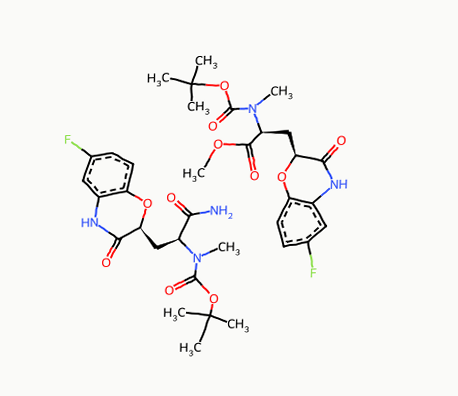 CN(C(=O)OC(C)(C)C)[C@@H](C[C@@H]1Oc2ccc(F)cc2NC1=O)C(N)=O.COC(=O)[C@H](C[C@@H]1Oc2ccc(F)cc2NC1=O)N(C)C(=O)OC(C)(C)C